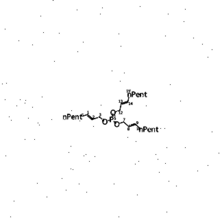 CCCCCC=CCOP(OCC=CCCCCC)OCC=CCCCCC